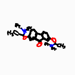 CC(C)N(C(C)C)C(C)Oc1ccc2c(c1)C(=O)c1cc(OC(C)N(C(C)C)C(C)C)ccc1-2